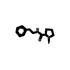 O=C(NCCc1ccccc1)C1CCCN1F